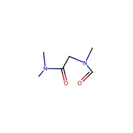 CN([C]=O)CC(=O)N(C)C